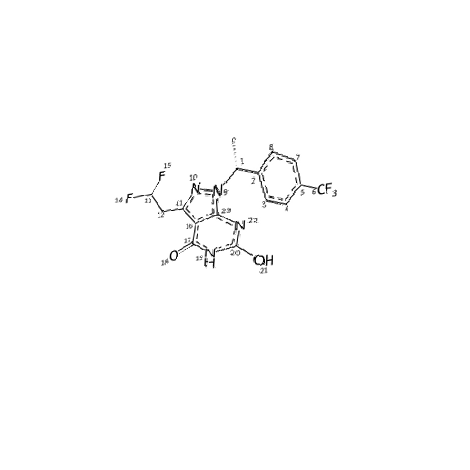 C[C@H](c1ccc(C(F)(F)F)cc1)n1nc(CC(F)F)c2c(=O)[nH]c(O)nc21